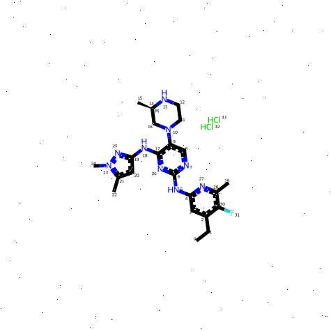 CCc1cc(Nc2ncc(N3CCN[C@H](C)C3)c(Nc3cc(C)n(C)n3)n2)nc(C)c1F.Cl.Cl